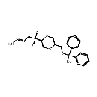 CC(C)(C)[Si](OCC1COC(C(F)(F)CN=NN)CO1)(c1ccccc1)c1ccccc1